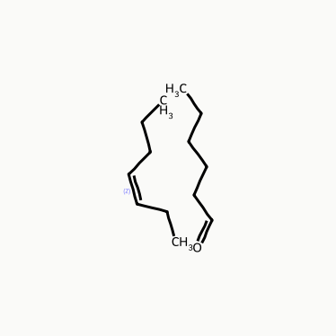 CC/C=C\CCC.CCCCCC=O